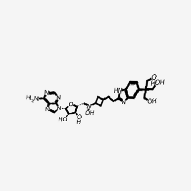 Nc1ncnc2c1ncn2[C@@H]1O[C@H](CN(O)C2CC(CCc3nc4cc(C(CO)(CO)CO)ccc4[nH]3)C2)[C@@H](O)[C@H]1O